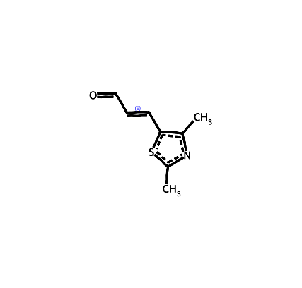 Cc1nc(C)c(/C=C/C=O)s1